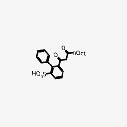 CCCCCCCCC(=O)CC(=O)c1cccc(S(=O)(=O)O)c1-c1ccccc1